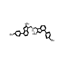 CCCCC1=Cc2c(-c3ccc(C(C)CC)cc3)cccc2C1C[SiH2]CC1C(CCCC)=Cc2c(-c3ccc(C(C)CC)cc3)cccc21